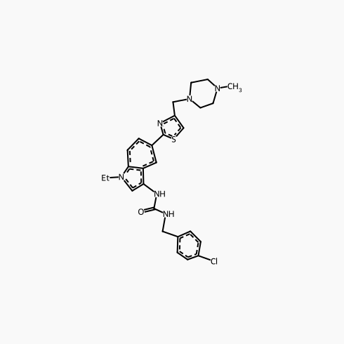 CCn1cc(NC(=O)NCc2ccc(Cl)cc2)c2cc(-c3nc(CN4CCN(C)CC4)cs3)ccc21